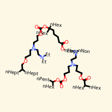 CCCCCCCCCN(CC)CCN(CCCOC(=O)OC(CCCCC)CCCCCC)CCCOC(=O)C(CCCCCC)CCCCCC.CCCCCCCOC(=O)CCCCC(CCCCCC)(CCCCCC)OC(=O)OCCCN(CCCOCC(CCCCCCC)CCCCCCC)CCN(CC)CC